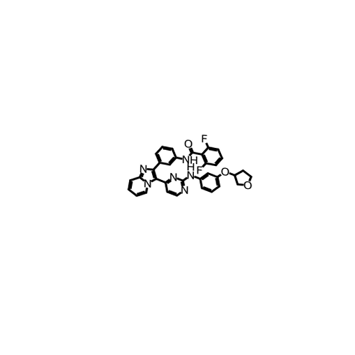 O=C(Nc1cccc(-c2nc3ccccn3c2-c2ccnc(Nc3cccc(OC4CCOC4)c3)n2)c1)c1c(F)cccc1F